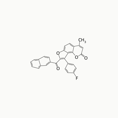 Cc1cc(=O)oc2c1ccc1oc(C(=O)c3ccc4ccccc4c3)c(-c3ccc(F)cc3)c12